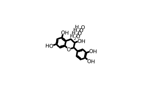 O.O.O.O.Oc1cc(O)c2c(c1)OC(c1ccc(O)c(O)c1)C(O)C2